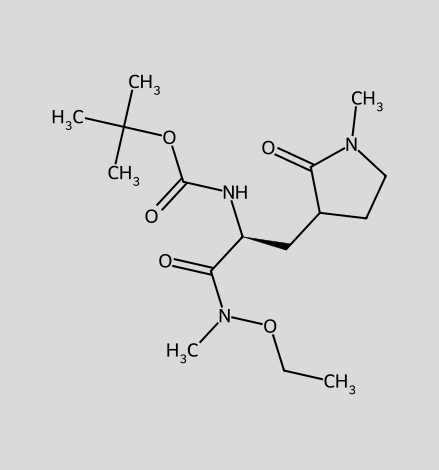 CCON(C)C(=O)[C@H](CC1CCN(C)C1=O)NC(=O)OC(C)(C)C